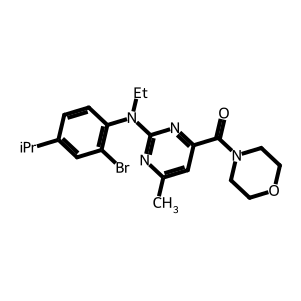 CCN(c1nc(C)cc(C(=O)N2CCOCC2)n1)c1ccc(C(C)C)cc1Br